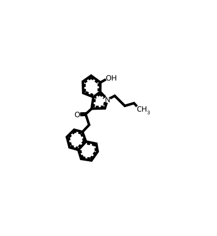 CCCCn1cc(C(=O)Cc2cccc3ccccc23)c2cccc(O)c21